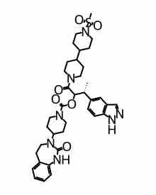 C[C@H](c1ccc2[nH]ncc2c1)C(OC(=O)N1CCC(N2CCc3ccccc3NC2=O)CC1)C(=O)N1CCC(C2CCN(S(C)(=O)=O)CC2)CC1